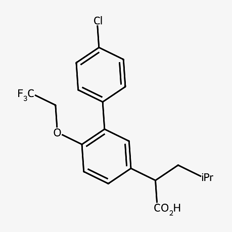 CC(C)CC(C(=O)O)c1ccc(OCC(F)(F)F)c(-c2ccc(Cl)cc2)c1